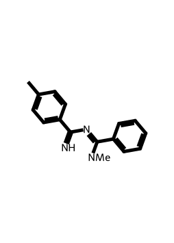 CN/C(=N\C(=N)c1ccc(C)cc1)c1ccccc1